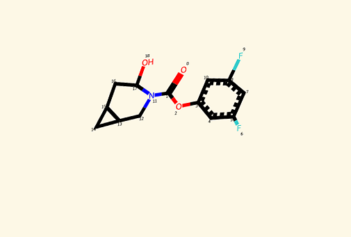 O=C(Oc1cc(F)cc(F)c1)N1CC2CC2CC1O